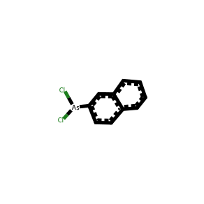 Cl[As](Cl)c1ccc2ccccc2c1